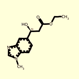 CCOC(=O)C[C@H](O)c1ccc2c(c1)ncn2C